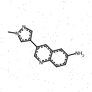 Cn1cc(-c2cnc3ccc(N)cc3c2)cn1